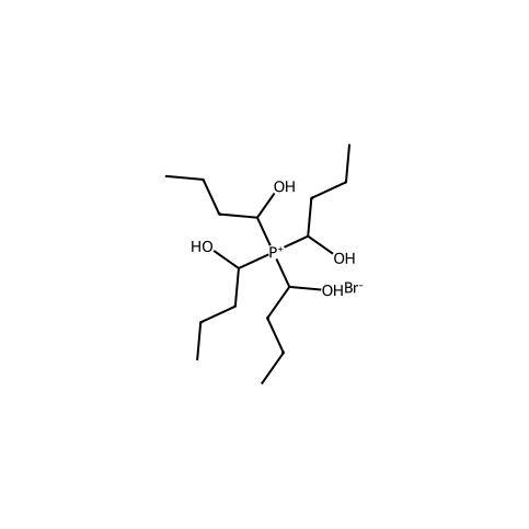 CCCC(O)[P+](C(O)CCC)(C(O)CCC)C(O)CCC.[Br-]